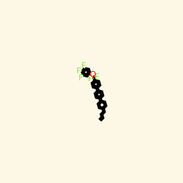 C=CCCC1CCC(c2ccc(-c3ccc(C(F)(F)Oc4cc(F)c(F)c(F)c4)cc3)cc2)CC1